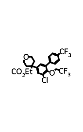 CCOC(=O)C1(c2cc(Cl)c(OCC(F)(F)F)c(-c3ccc(C(F)(F)F)cc3)c2)CCOCC1